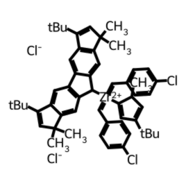 CC1C=C(C(C)(C)C)C=[C]1[Zr+2](=[CH]c1ccc(Cl)cc1)(=[CH]c1ccc(Cl)cc1)[CH]1c2cc3c(cc2-c2cc4c(cc21)C(C)(C)C=C4C(C)(C)C)C(C(C)(C)C)=CC3(C)C.[Cl-].[Cl-]